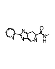 CNC(=O)C1=NC=C2N=C(c3ccccn3)N=C2C1